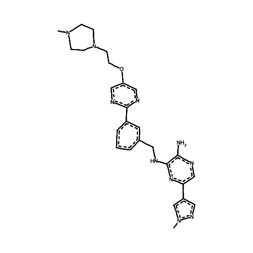 CN1CCN(CCOc2cnc(-c3cccc(CNc4nc(-c5cnn(C)c5)cnc4N)c3)nc2)CC1